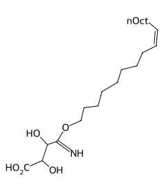 CCCCCCCC/C=C\CCCCCCCCOC(=N)C(O)C(O)C(=O)O